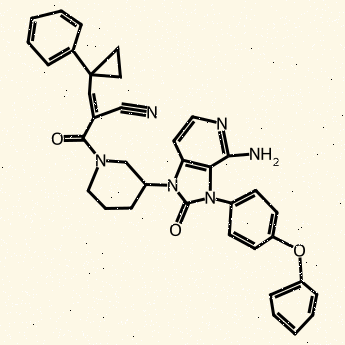 N#CC(=CC1(c2ccccc2)CC1)C(=O)N1CCCC(n2c(=O)n(-c3ccc(Oc4ccccc4)cc3)c3c(N)nccc32)C1